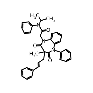 CC(C)N(C(=O)CN1C(=O)C(C)(CC=Cc2ccccc2)C(=O)N(c2ccccc2)c2ccccc21)c1ccccc1